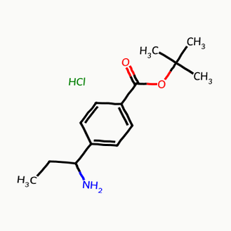 CCC(N)c1ccc(C(=O)OC(C)(C)C)cc1.Cl